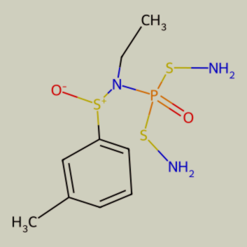 CCN([S+]([O-])c1cccc(C)c1)P(=O)(SN)SN